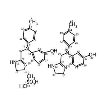 CS(=O)(=O)O.Cc1ccc(N(CC2=NCCN2)c2cccc(O)c2)cc1.Cc1ccc(N(CC2=NCCN2)c2cccc(O)c2)cc1.Cl